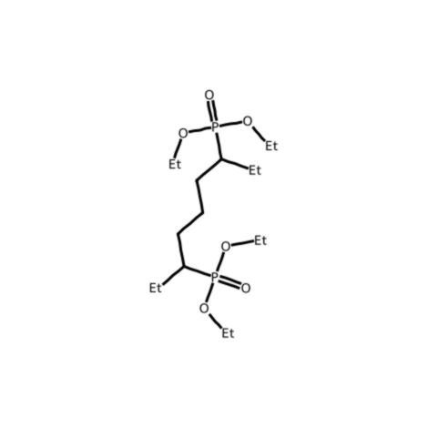 CCOP(=O)(OCC)C(CC)CCCC(CC)P(=O)(OCC)OCC